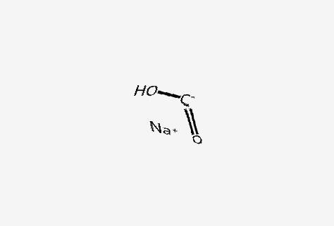 O=[C-]O.[Na+]